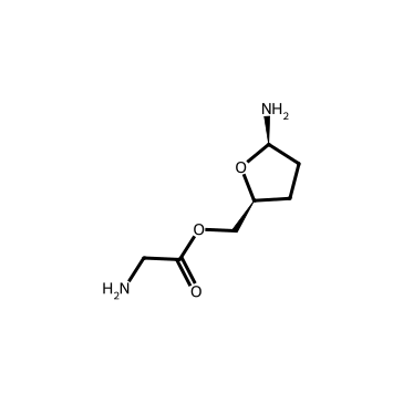 NCC(=O)OC[C@@H]1CC[C@H](N)O1